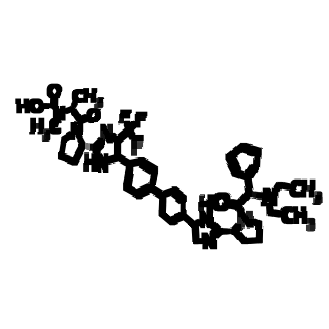 CCN(CC)[C@@H](C(=O)N1CCC[C@H]1c1ncc(-c2ccc(-c3ccc(-c4[nH]c([C@@H]5CCCN5C(=O)[C@H](C)N(C)C(=O)O)nc4C(F)(F)F)cc3)cc2)[nH]1)c1ccccc1